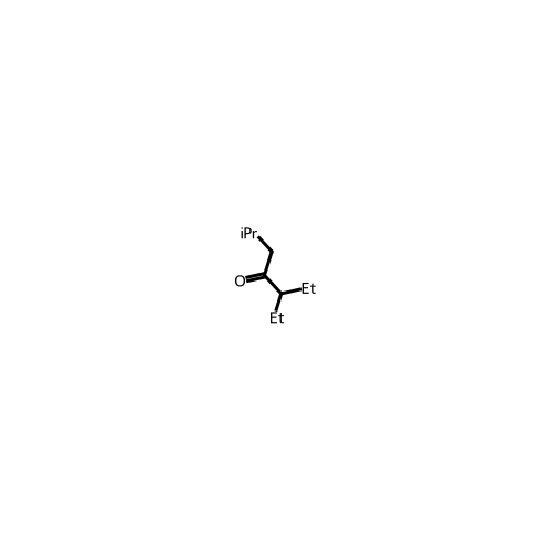 CCC(CC)C(=O)CC(C)C